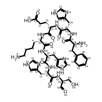 NCCCC[C@H](NC(=O)[C@H](CCC(=O)O)NC(=O)[C@H](Cc1c[nH]cn1)NC(=O)[C@@H](N)Cc1ccccc1)C(=O)N[C@@H](Cc1c[nH]cn1)C(=O)N[C@@H](Cc1c[nH]cn1)C(=O)N[C@H]([C]=O)CO